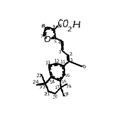 C/C(=C/C=C/c1occc1C(=O)O)c1ccc2c(c1)C(C)(C)CCC2(C)C